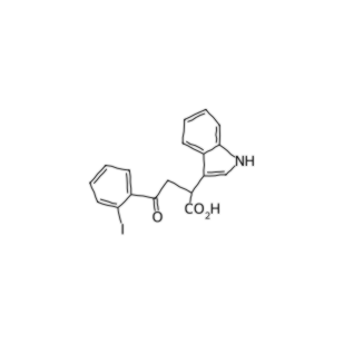 O=C(CC(C(=O)O)c1c[nH]c2ccccc12)c1ccccc1I